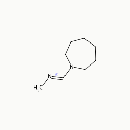 C/N=C/N1CCCCCC1